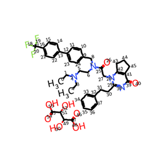 CCN(CC)CCN(Cc1ccc(-c2ccc(C(F)(F)F)cc2)cc1)C(=O)Cn1c(CCc2ccccc2)nc(=O)c2c1CCC2.O=C(O)C(O)C(O)C(=O)O